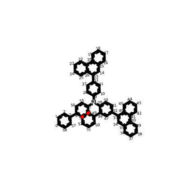 c1ccc(-c2ccc(N(c3ccc(-c4cc5ccccc5c5ccccc45)cc3)c3ccc(-c4cc5ccccc5c5ccccc45)cc3-c3ccccc3)cc2)cc1